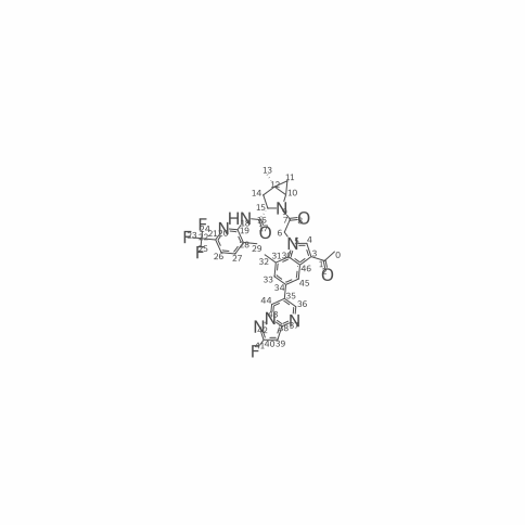 CC(=O)c1cn(CC(=O)N2C3C[C@]3(C)C[C@H]2C(=O)Nc2nc(C(F)(F)F)ccc2C)c2c(C)cc(-c3cnc4cc(F)nn4c3)cc12